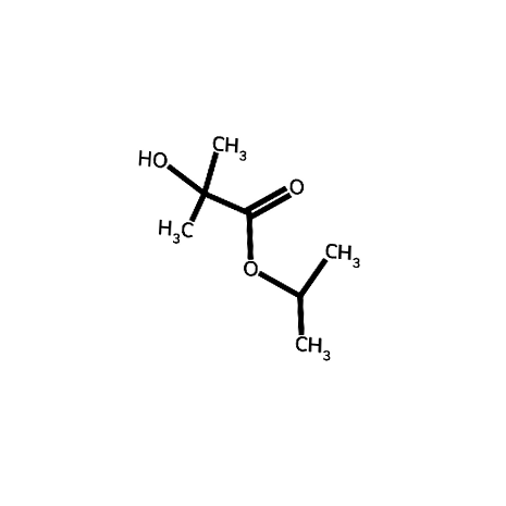 CC(C)OC(=O)C(C)(C)O